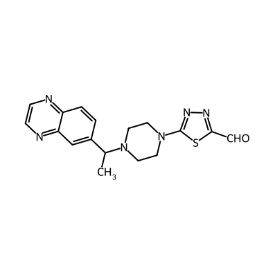 CC(c1ccc2nccnc2c1)N1CCN(c2nnc(C=O)s2)CC1